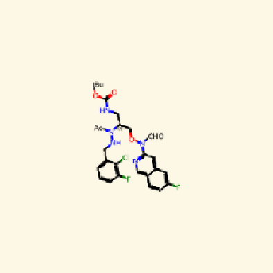 CC(=O)N(NCc1cccc(F)c1Cl)[C@@H](CNC(=O)OC(C)(C)C)CON(C=O)c1cc2cc(F)ccc2cn1